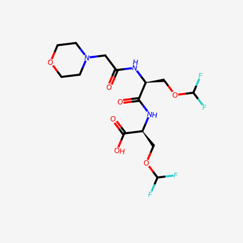 O=C(CN1CCOCC1)N[C@@H](COC(F)F)C(=O)N[C@@H](COC(F)F)C(=O)O